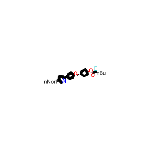 CCCCCCCCCc1ccc(-c2ccc(OC[C@H]3CC[C@H](OC(=O)[C@@H](F)CCCC)CC3)cc2)nc1